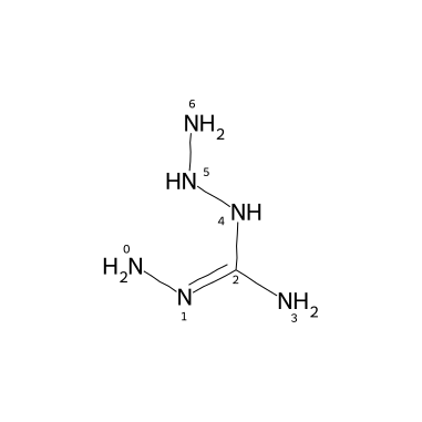 NN=C(N)NNN